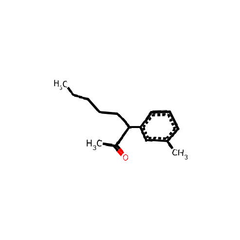 CCCCCC(C(C)=O)c1cccc(C)c1